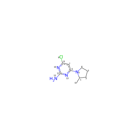 CC1CCCN1c1cc(Cl)nc(N)n1